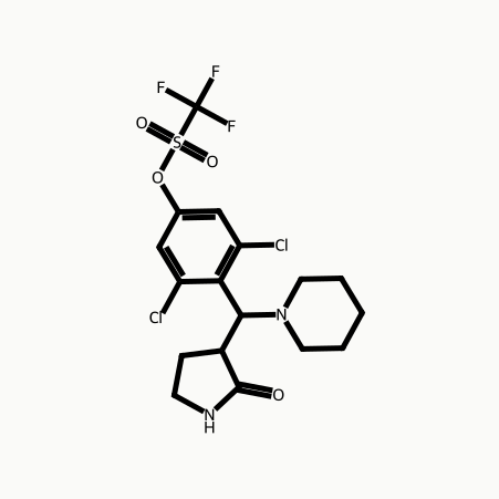 O=C1NCCC1C(c1c(Cl)cc(OS(=O)(=O)C(F)(F)F)cc1Cl)N1CCCCC1